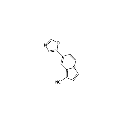 N#Cc1ccn2ccc(-c3cnco3)cc12